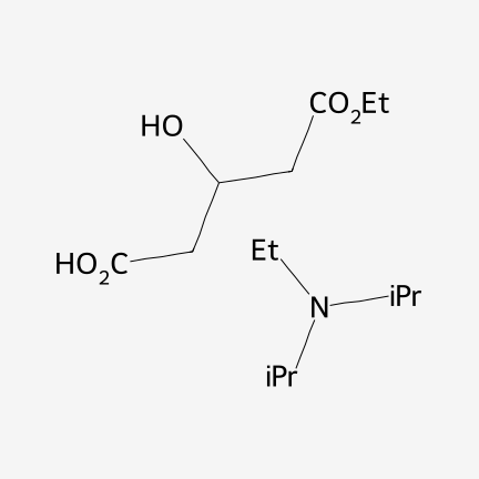 CCN(C(C)C)C(C)C.CCOC(=O)CC(O)CC(=O)O